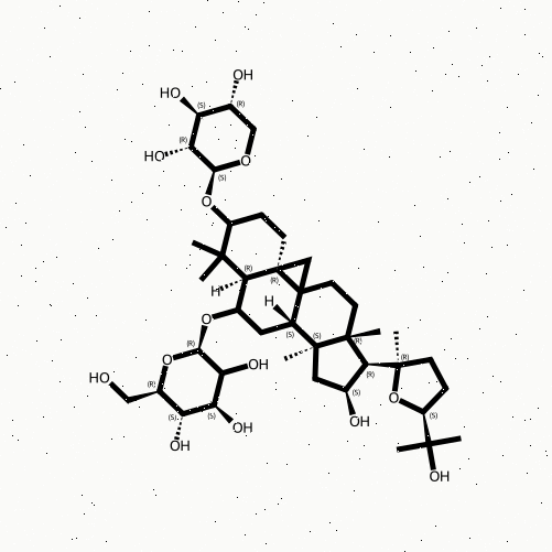 CC(C)(O)[C@@H]1CC[C@](C)([C@H]2[C@@H](O)C[C@@]3(C)[C@@H]4CC(O[C@@H]5O[C@H](CO)[C@@H](O)[C@H](O)C5O)[C@H]5C(C)(C)C(O[C@@H]6OC[C@@H](O)[C@H](O)[C@H]6O)CC[C@@]56CC46CC[C@]23C)O1